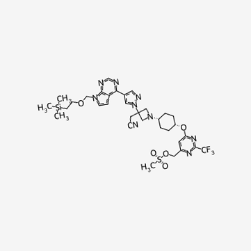 C[Si](C)(C)CCOCn1ccc2c(-c3cnn(C4(CC#N)CN([C@H]5CC[C@@H](Oc6cc(COS(C)(=O)=O)nc(C(F)(F)F)n6)CC5)C4)c3)ncnc21